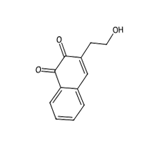 O=C1C(=O)c2ccccc2C=C1CCO